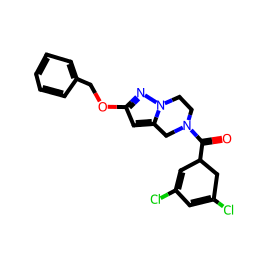 O=C(C1C=C(Cl)C=C(Cl)C1)N1CCn2nc(OCc3ccccc3)cc2C1